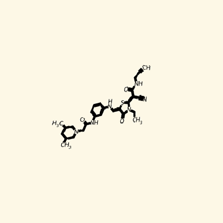 C#CCNC(=O)C(C#N)=c1sc(=CNc2cccc(NC(=O)CN3CC(C)CC(C)C3)c2)c(=O)n1CC